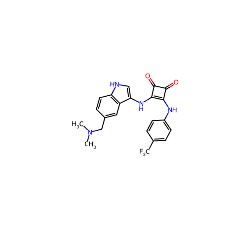 CN(C)Cc1ccc2[nH]cc(Nc3c(Nc4ccc(C(F)(F)F)cc4)c(=O)c3=O)c2c1